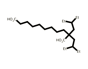 CCC(CC)CC(CCCCCCCCC(=O)O)(CC(CC)CC)C(=O)O